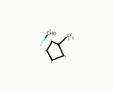 FC(F)(F)C1CCCC1.O=CF